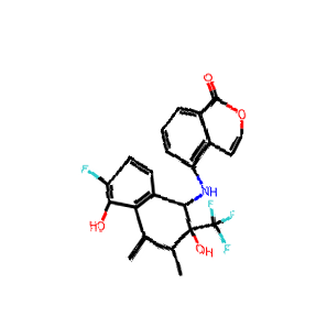 CC1c2c(ccc(F)c2O)C(Nc2cccc3c(=O)occc23)C(O)(C(F)(F)F)C1C